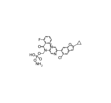 NOP(=O)(O)OCN(C(=O)c1c(F)cccc1F)c1cnc(-c2cc3oc(C4CC4)cc3cc2Cl)cn1